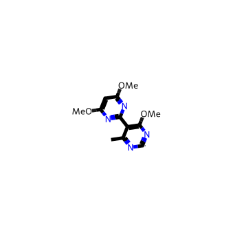 COc1cc(OC)nc(-c2c(C)n[c]nc2OC)n1